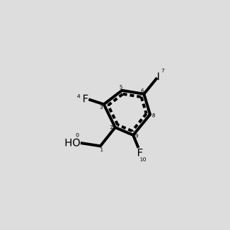 OCc1c(F)cc(I)cc1F